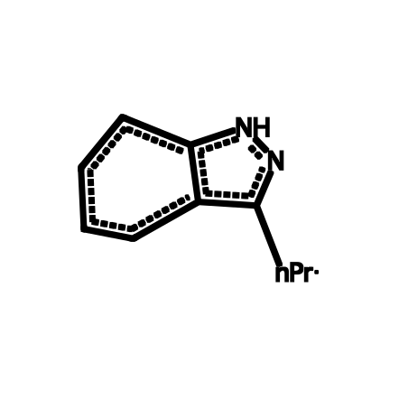 CC[CH]c1n[nH]c2ccccc12